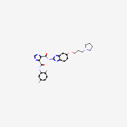 Cc1ccc(Br)cc1NC(=O)c1nc[nH]c1C(=O)Nc1nc2ccc(OCCCN3CCCC3)cc2[nH]1